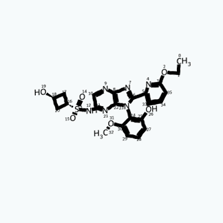 CCOC1=NC(c2nc3ncc(NS(=O)(=O)[C@H]4C[C@H](O)C4)nc3n2-c2c(O)cccc2OC)=C=C=C1